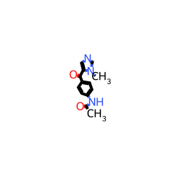 CC(=O)Nc1ccc(C(=O)c2cncn2C)cc1